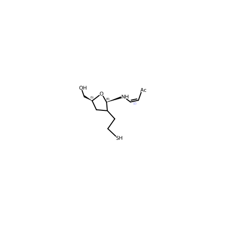 CC(=O)/C=C\N[C@@H]1O[C@H](CO)CC1CCS